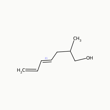 C=C/C=C/CC(C)CO